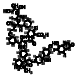 CN(C)C(=O)C(CCN1CCC(O)(c2ccc(Cl)cc2)CC1)(c1ccccc1)c1ccccc1.NC(=O)CI.N[C@@H](C(=O)N[C@@H]1C(=O)N2C(C(=O)O)=C(Cl)CC[C@H]12)c1ccccc1.O.O=NN(CCCl)C(=O)NC1CCCCC1.OCC(O)CO.Oc1c(I)cc(I)c2cccnc12